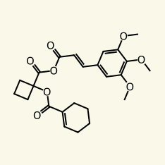 COc1cc(/C=C/C(=O)OC(=O)C2(OC(=O)C3=CCCCC3)CCC2)cc(OC)c1OC